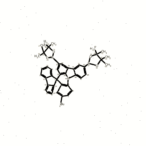 CCC(C)c1ccc2c(c1)C1(c3ccccc3-c3ccccc31)c1cc(B3OC(C)(C)C(C)(C)O3)cc3c4cc(B5OC(C)(C)C(C)(C)O5)ccc4n-2c13